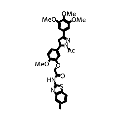 COc1ccc(C2CC(c3cc(OC)c(OC)c(OC)c3)=NN2C(C)=O)cc1OCC(=O)Nc1nc2cc(C)ccc2s1